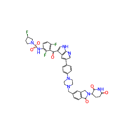 O=C1CCC(N2Cc3cc(CN4CCN(c5ccc(-c6cnc7[nH]cc(C(=O)c8c(F)ccc(NS(=O)(=O)N9CC[C@@H](F)C9)c8F)c7c6)cc5)CC4)ccc3C2=O)C(=O)N1